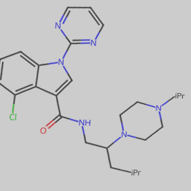 CC(C)CC(CNC(=O)c1cn(-c2ncccn2)c2cccc(Cl)c12)N1CCN(C(C)C)CC1